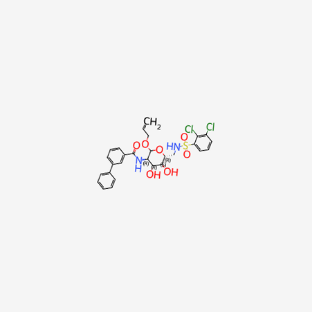 C=CCOC1O[C@H](CNS(=O)(=O)c2cccc(Cl)c2Cl)[C@@H](O)[C@H](O)[C@H]1NC(=O)c1cccc(-c2ccccc2)c1